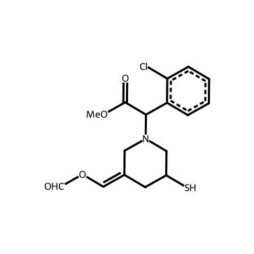 COC(=O)C(c1ccccc1Cl)N1CC(=COC=O)CC(S)C1